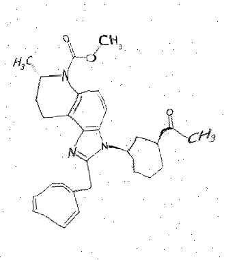 COC(=O)N1c2ccc3c(nc(Cc4ccccc4)n3[C@@H]3CCC[C@H](C(C)=O)C3)c2CC[C@@H]1C